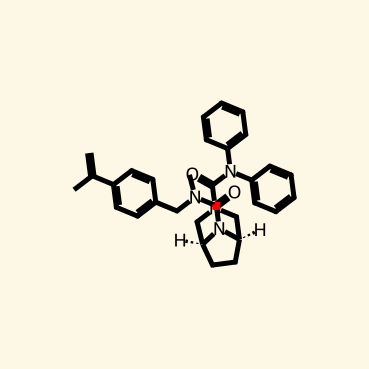 C=C(C)c1ccc(CN(C)C(=O)N2[C@@H]3CC[C@H]2CN(C(=O)N(c2ccccc2)c2ccccc2)C3)cc1